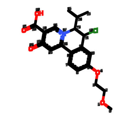 COCCOc1ccc2c(c1)C(Cl)C(C(C)C)n1cc(C(=O)O)c(=O)cc1-2